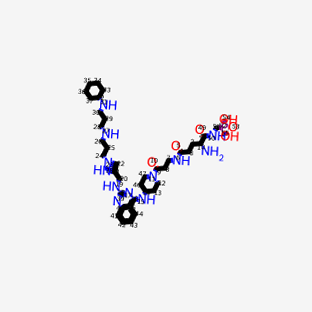 N[C@@H](CCC(=O)NCCC(=O)N1CCC(Nc2nc(NCc3cn(CCCNCCCNC4CCCCC4)[nH]3)nc3ccccc23)CC1)C(=O)NCP(=O)(O)O